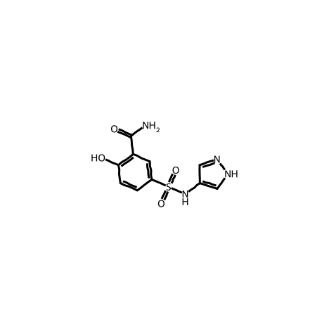 NC(=O)c1cc(S(=O)(=O)Nc2cn[nH]c2)ccc1O